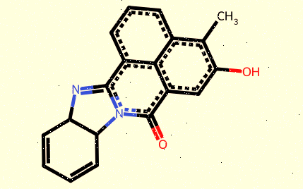 Cc1c(O)cc2c(=O)n3c(c4cccc1c24)=NC1C=CC=CC13